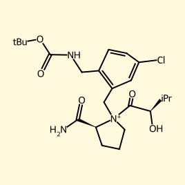 CC(C)[C@@H](O)C(=O)[N+]1(Cc2cc(Cl)ccc2CNC(=O)OC(C)(C)C)CCC[C@H]1C(N)=O